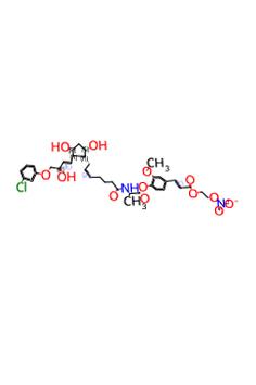 COc1cc(/C=C/C(=O)OCCO[N+](=O)[O-])ccc1OC(=O)C(C)NC(=O)CCC/C=C\C[C@@H]1[C@@H](/C=C/[C@@H](O)COc2cccc(Cl)c2)[C@H](O)C[C@@H]1O